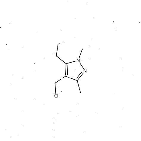 [CH2]Cc1c(CCl)c(C)nn1C